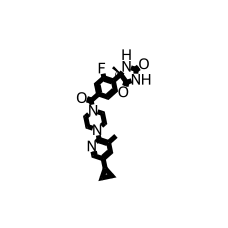 Cc1cc(C2CC2)cnc1N1CCN(C(=O)c2ccc([C@]3(C)NC(=O)NC3=O)c(F)c2)CC1